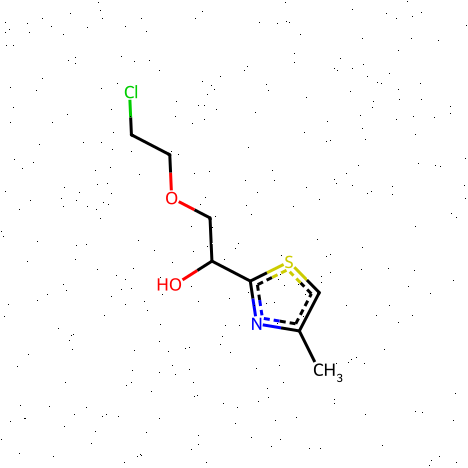 Cc1csc(C(O)COCCCl)n1